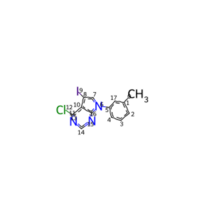 Cc1cccc(-n2cc(I)c3c(Cl)ncnc32)c1